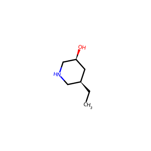 CC[C@H]1CNC[C@@H](O)C1